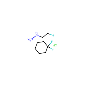 Cl.FC1(F)CCCCC1.NNCCF